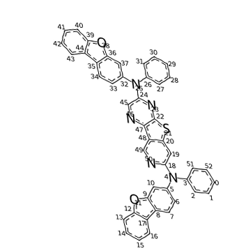 c1ccc(N(c2ccc3c(c2)oc2ccccc23)c2cc3sc4nc(N(c5ccccc5)c5ccc6c(c5)oc5ccccc56)cnc4c3cn2)cc1